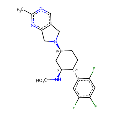 O=C(O)N[C@H]1C[C@@H](N2Cc3cnc(C(F)(F)F)nc3C2)CC[C@@H]1c1cc(F)c(F)cc1F